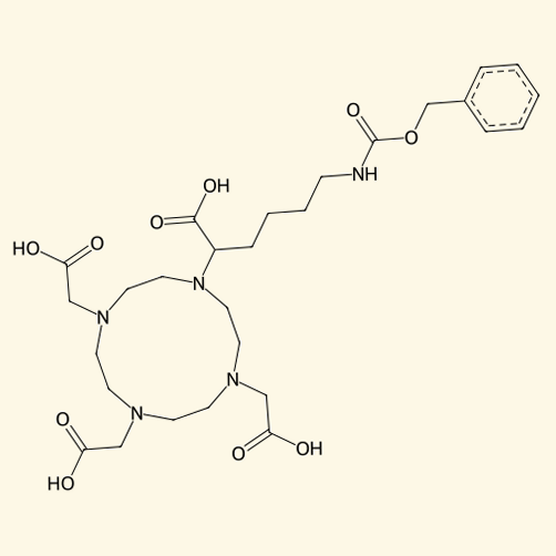 O=C(O)CN1CCN(CC(=O)O)CCN(C(CCCCNC(=O)OCc2ccccc2)C(=O)O)CCN(CC(=O)O)CC1